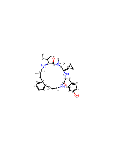 CCC(C)[C@@H]1NC[C@@H](C)Cc2ccccc2CCCNC(=O)[C@@H](Cc2ccc(O)cc2)NC(=C2CC2)[C@@H](C)N(C)C1=O